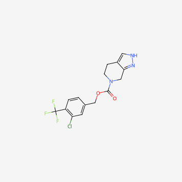 O=C(OCc1ccc(C(F)(F)F)c(Cl)c1)N1CCc2c[nH]nc2C1